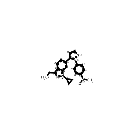 CCc1nn(C2CC2)c2cc(-c3ccnn3-c3ccc([S+](C)[O-])cc3)ccc12